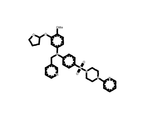 COc1ccc(N(Cc2cccnc2)c2ccc(S(=O)(=O)N3CCN(c4ccccn4)CC3)cc2)cc1OC1CCCO1